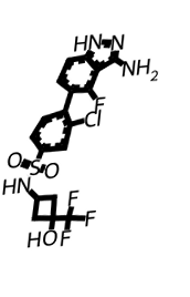 Nc1n[nH]c2ccc(-c3ccc(S(=O)(=O)NC4CC(O)(C(F)(F)F)C4)cc3Cl)c(F)c12